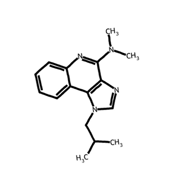 CC(C)Cn1cnc2c(N(C)C)nc3ccccc3c21